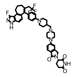 O=C1CC[C@H](N2Cc3cc(N4CCN(CC5CCN(c6ccc(C7=C(CC(F)(F)F)CCCc8c7ccc7[nH]nc(F)c87)cc6)CC5)CC4)ccc3C2=O)C(=O)N1